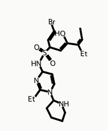 C/C=C(/CC)C(O)=CC(/C=C/Br)S(=O)(=O)NC1C=CN(C2CCCCN2)C(CC)=N1